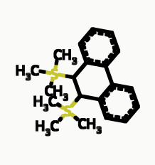 CS(C)(C)C1c2ccccc2-c2ccccc2C1S(C)(C)C